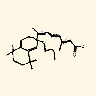 CCCOC1(\C(C)=C/C=C/C(C)=C/C(=O)O)C=C2C(=CC1)C(C)(C)CCC2(C)C